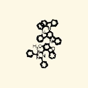 Cc1cc(-n2c3ccccc3c3cc(-n4c5ccccc5c5ccccc54)c4c(c5ccccc5n4-c4ccccc4)c32)c2oc3ccccc3c2c1-c1nc(-c2ccccc2)nc(-c2ccccc2)n1